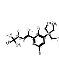 CC[Si](CC)(CC)c1cc(Br)nc(C(C)=N[S@+]([O-])C(C)(C)C)c1Cl